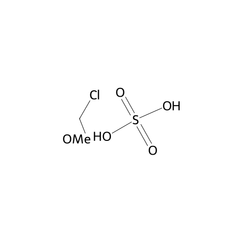 COCCl.O=S(=O)(O)O